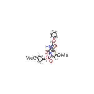 COc1ccc(COC(=O)C2=C(C)[C@@H](OC)S[C@H]3[C@@H](NC(=O)COc4ccccc4)C(=O)N23)cc1